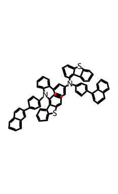 c1cc(-c2ccccc2N(c2ccc(-c3ccc4ccccc4c3)cc2)c2cccc3sc4ccccc4c23)cc(N(c2ccc(-c3cccc4ccccc34)cc2)c2cccc3sc4ccccc4c23)c1